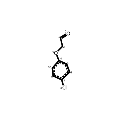 O=[C]COc1ccc(Cl)cc1